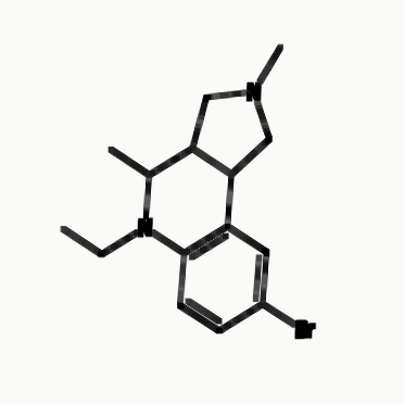 CCN1c2ccc(Br)cc2C2CN(C)CC2C1C